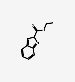 CCOC(=O)C1C=c2ccccc2=N1